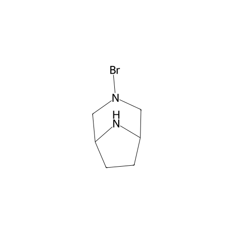 BrN1CC2CCC(C1)N2